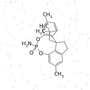 Cc1cc2c3c(c1)OP(N)(=O)Oc1cc(C)cc4c1C3(CC2)CC4(C)C